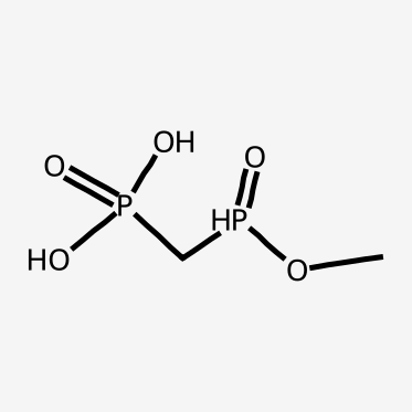 CO[PH](=O)CP(=O)(O)O